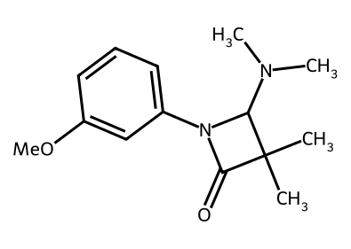 COc1cccc(N2C(=O)C(C)(C)C2N(C)C)c1